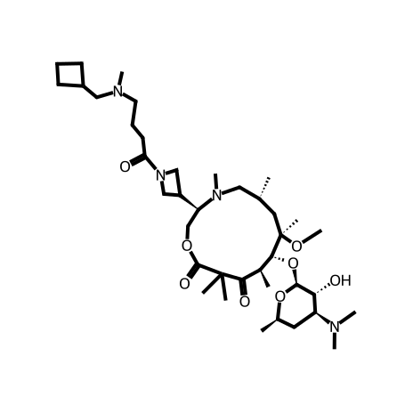 CO[C@]1(C)C[C@@H](C)CN(C)[C@H](C2CN(C(=O)CCCN(C)CC3CCC3)C2)COC(=O)C(C)(C)C(=O)[C@H](C)[C@H]1O[C@@H]1O[C@H](C)C[C@H](N(C)C)[C@H]1O